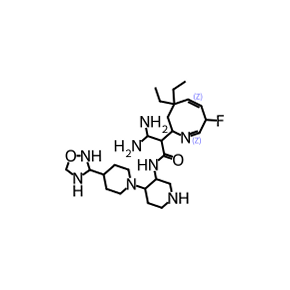 CCC1(CC)/C=C\C(F)/C=N\C(C(C(=O)NC2CNCCC2N2CCC(C3NCON3)CC2)C(N)N)C1